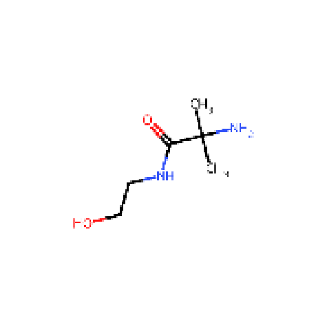 CC(C)(N)C(=O)NCCO